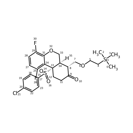 C[Si](C)(C)CCOC[C@@H]1C(=O)CC[C@@]2(S(=O)(=O)c3ccc(Cl)cc3)c3c(F)ccc(F)c3OC[C@@H]12